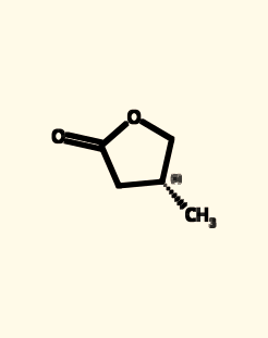 C[C@H]1COC(=O)C1